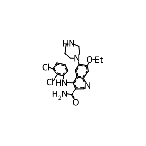 CCOc1cc2ncc(C(N)=O)c(Nc3cccc(Cl)c3Cl)c2cc1N1CCCNCC1